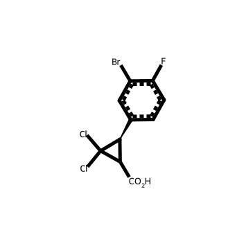 O=C(O)C1[C@H](c2ccc(F)c(Br)c2)C1(Cl)Cl